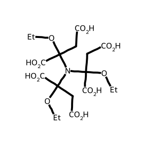 CCOC(CC(=O)O)(C(=O)O)N(C(CC(=O)O)(OCC)C(=O)O)C(CC(=O)O)(OCC)C(=O)O